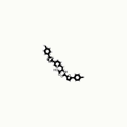 Cc1ccc(-c2ccc(C(=O)NC(Cc3ccc(-c4noc(-c5ccc(C)cc5)n4)cn3)C(=O)O)o2)cc1